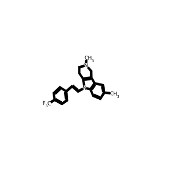 Cc1ccc2c(c1)c1c(n2/C=C/c2ccc(C(F)(F)F)cc2)CCN(C)C1